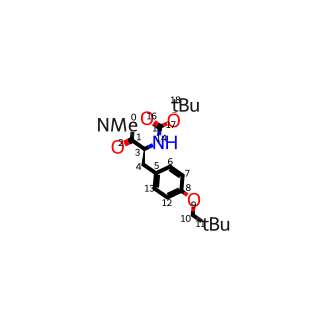 CNC(=O)[C@H](Cc1ccc(OCC(C)(C)C)cc1)NC(=O)OC(C)(C)C